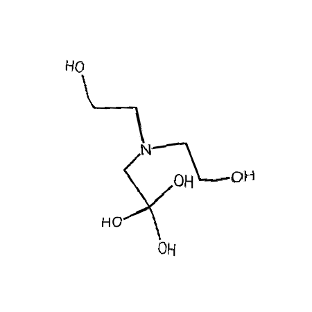 OCCN(CCO)CC(O)(O)O